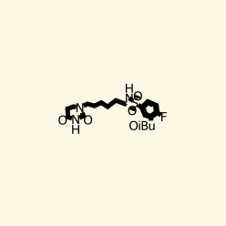 CC(C)COc1cc(S(=O)(=O)NCCCCCCN2CCC(=O)NC2=O)ccc1F